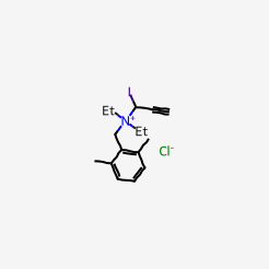 C#CC(I)[N+](CC)(CC)Cc1c(C)cccc1C.[Cl-]